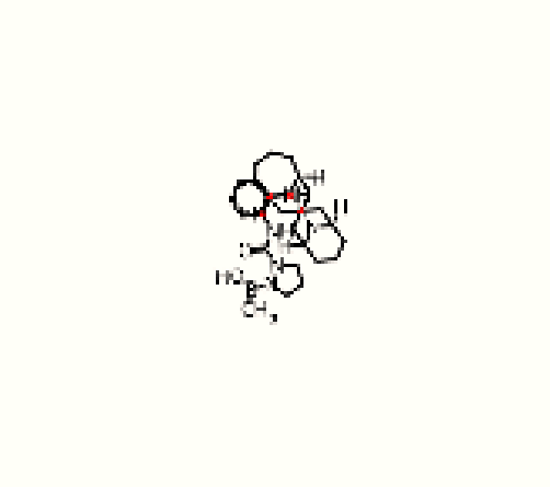 CB(O)N1CCCN1C(=O)Nc1ccccc1N[C@H]1C[C@H]2CCC[C@@H](C1)N2[C@@H]1C[C@@H]2CCCC[C@@H](C2)C1